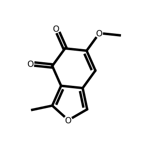 COC1=Cc2coc(C)c2C(=O)C1=O